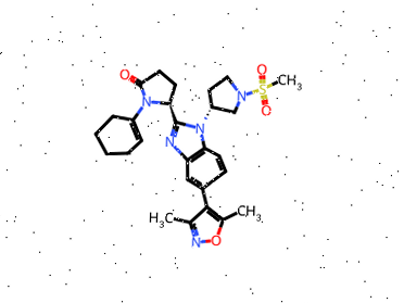 Cc1noc(C)c1-c1ccc2c(c1)nc([C@@H]1CCC(=O)N1C1=CCCCC1)n2[C@@H]1CCN(S(C)(=O)=O)C1